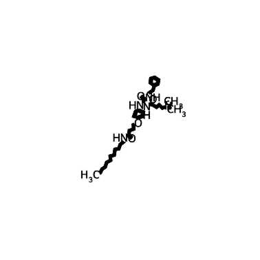 CCCCCCCCCCCCNC(=O)CCCOc1ccc(NC(NC(=O)CCCN(C)C)C(=O)NCCc2ccccc2)cc1